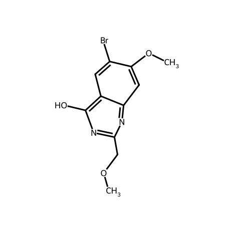 COCc1nc(O)c2cc(Br)c(OC)cc2n1